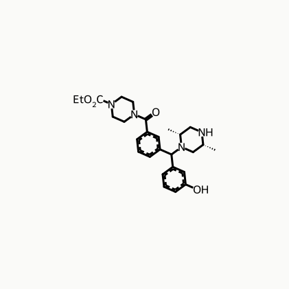 CCOC(=O)N1CCN(C(=O)c2cccc(C(c3cccc(O)c3)N3C[C@@H](C)NC[C@H]3C)c2)CC1